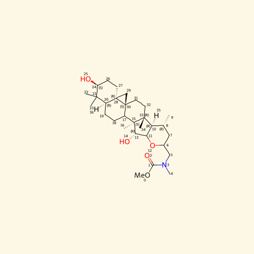 COC(=O)N(C)CC1C[C@@H](C)[C@H]2C(O1)[C@H](O)[C@@]1(C)C3CC[C@H]4C(C)(C)[C@@H](O)CC[C@@]45C[C@@]35CC[C@]21C